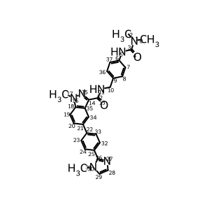 CN(C)C(=O)Nc1ccc(CNC(=O)c2nn(C)c3ccc(-c4ccc(-c5nccn5C)cc4)cc23)cc1